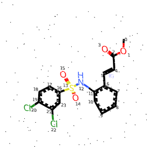 COC(=O)/C=C/c1ccccc1NS(=O)(=O)c1ccc(Cl)c(Cl)c1